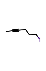 CC#CCCCI